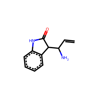 C=CC(N)C1C(=O)Nc2ccccc21